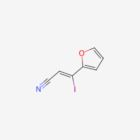 N#C/C=C(\I)c1ccco1